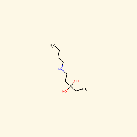 CCCCNCC[Si](O)(O)CC